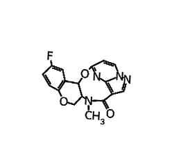 CN1C(=O)c2cnn3ccc(nc23)OC2c3cc(F)ccc3OCC21